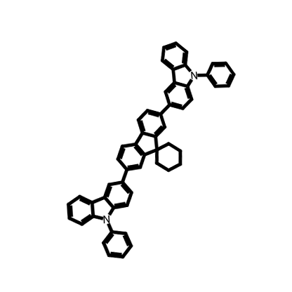 c1ccc(-n2c3ccccc3c3cc(-c4ccc5c(c4)C4(CCCCC4)c4cc(-c6ccc7c(c6)c6ccccc6n7-c6ccccc6)ccc4-5)ccc32)cc1